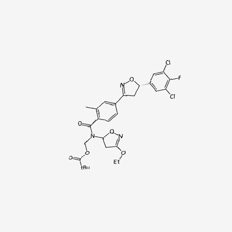 CCOC1=NOC(N(COC(=O)C(C)(C)C)C(=O)c2ccc(C3=NO[C@H](c4cc(Cl)c(F)c(Cl)c4)C3)cc2C)C1